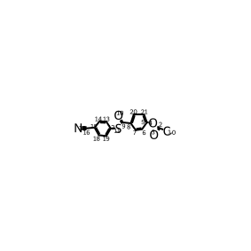 CCC(=O)Oc1ccc(C(=O)Sc2ccc(C#N)cc2)cc1